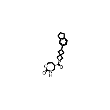 O=C1NC[C@H](C(=O)N2CC3(CC(c4ccc5c(c4)CCC5)C3)C2)CCO1